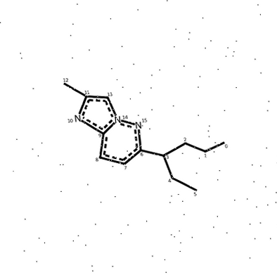 CCCC(CC)c1ccc2nc(C)cn2n1